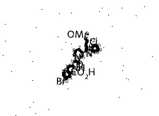 COCCCn1c([C@@H]2CCCN(C(=O)C[C@@H](Cc3ccc(Br)cc3)NC(=O)O)C2)nc2cccc(Cl)c21